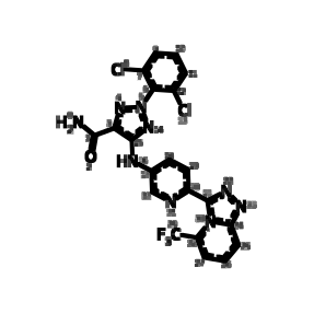 NC(=O)c1nn(-c2c(Cl)cccc2Cl)nc1Nc1ccc(-c2nnc3cccc(C(F)(F)F)n23)nc1